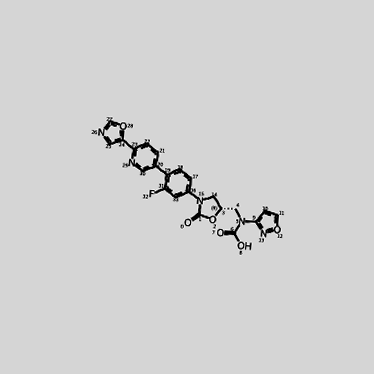 O=C1O[C@@H](CN(C(=O)O)c2ccon2)CN1c1ccc(-c2ccc(-c3cnco3)nc2)c(F)c1